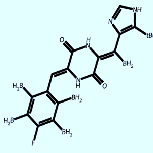 B/C(c1nc[nH]c1C(C)(C)C)=c1/[nH]c(=O)/c(=C/c2c(B)c(B)c(F)c(B)c2B)[nH]c1=O